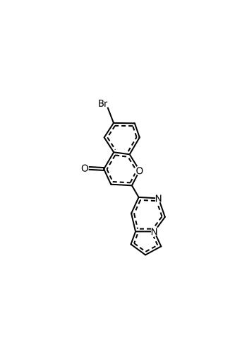 O=c1cc(-c2cc3cccn3cn2)oc2ccc(Br)cc12